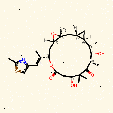 C/C(=C\c1csc(C)n1)[C@@H]1C[C@@H]2O[C@]2(C(F)(F)F)C[C@@H]2C[C@H]2[C@H](C)[C@H](O)[C@@H](C)C(=O)C(C)(C)[C@@H](O)CC(=O)O1